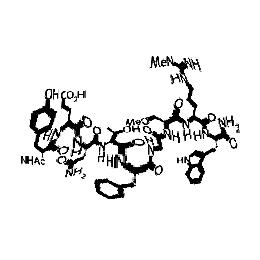 CNC(=N)NCCC[C@H](NC(=O)[C@H](COC)NC(=O)CNC(=O)[C@H](CC1CCCCC1)NC(=O)[C@@H](NC(=O)[C@H](CC(N)=O)NC(=O)[C@H](CCC(=O)O)NC(=O)[C@@H](Cc1ccc(O)cc1)NC(C)=O)[C@@H](C)O)C(=O)N[C@@H](Cc1c[nH]c2ccccc12)C(N)=O